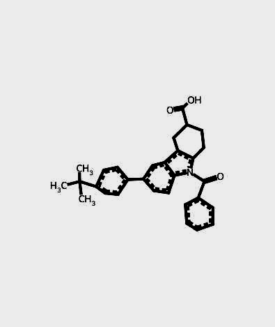 CC(C)(C)c1ccc(-c2ccc3c(c2)c2c(n3C(=O)c3ccccc3)CCC(C(=O)O)C2)cc1